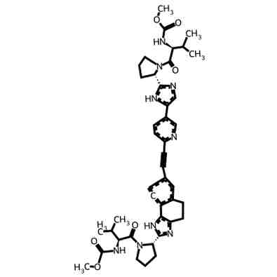 COC(=O)N[C@H](C(=O)N1CCC[C@H]1c1ncc(-c2ccc(C#Cc3ccc4c(c3)CCc3nc([C@@H]5CCCN5C(=O)[C@@H](NC(=O)OC)C(C)C)[nH]c3-4)nc2)[nH]1)C(C)C